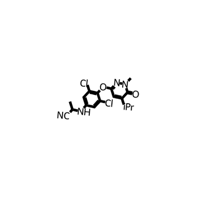 CC(C#N)Nc1cc(Cl)c(Oc2cc(C(C)C)c(=O)n(C)n2)c(Cl)c1